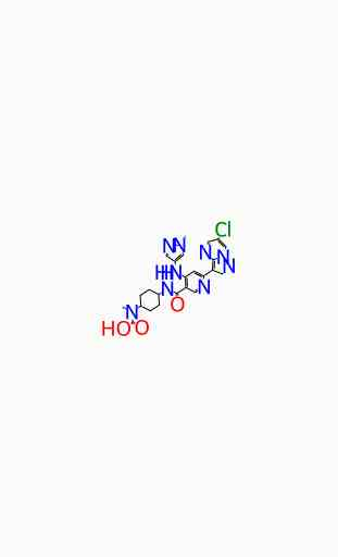 CN(C(=O)O)C1CCC(NC(=O)c2cnc(-c3cnn4cc(Cl)cnc34)cc2Nc2cnn(C)c2)CC1